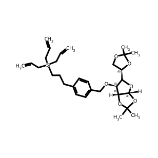 C=CC[Si](CC=C)(CC=C)CCCc1ccc(CO[C@H]2C([C@H]3COC(C)(C)O3)O[C@@H]3OC(C)(C)O[C@@H]32)cc1